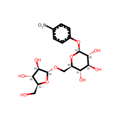 O=[N+]([O-])c1ccc(O[C@@H]2O[C@H](CO[C@@H]3O[C@@H](CO)[C@H](O)[C@H]3O)[C@@H](O)[C@H](O)[C@H]2O)cc1